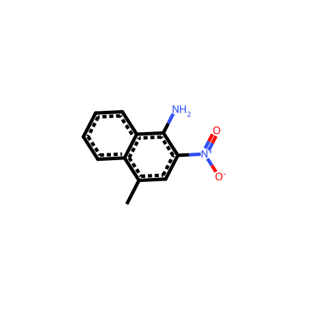 Cc1cc([N+](=O)[O-])c(N)c2ccccc12